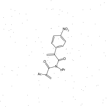 C=C(C(C)=O)C(=O)N(CCC)C(=O)C(=C)c1ccc([N+](=O)[O-])cc1